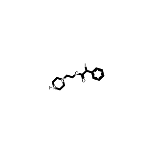 O=C(OCCN1CCNCC1)C(I)c1ccccc1